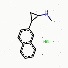 CNC1CC1c1ccc2ccccc2c1.Cl